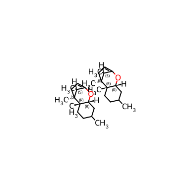 CC1CC[C@@]2(C)[C@@H](C1)OC1=CC[C@@]2(C)[C@@H]1C.CC1CC[C@@]2(C)[C@@H](C1)OC1=CC[C@@]2(C)[C@@H]1C